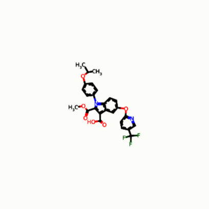 COC(=O)c1c(C(=O)O)c2cc(Oc3ccc(C(F)(F)F)cn3)ccc2n1-c1ccc(OC(C)C)cc1